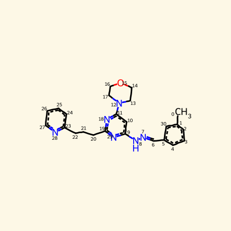 Cc1cccc(C=NNc2cc(N3CCOCC3)nc(CCCc3ccccn3)n2)c1